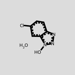 O.On1nnc2ccc(Cl)cc21